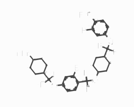 CCCC1CCC(C(F)(F)Oc2ccc(C(F)(F)OC3CCC(C(F)(F)Oc4ccc(C(F)(F)F)c(F)c4)CC3)c(F)c2)CC1